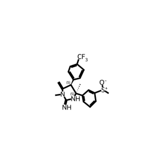 C=C1[C@@H](c2ccc(C(F)(F)F)cc2)[C@@](C)(c2cccc([S+](C)[O-])c2)NC(=N)N1C